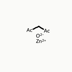 CC(=O)CC(C)=O.[O-2].[Zn+2]